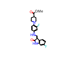 COC(=O)C1CCN(c2ccc(NC=C3C(=O)Nc4cc(F)ccc43)cc2F)CC1